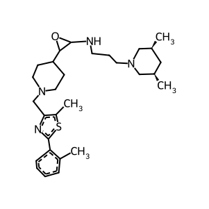 Cc1ccccc1-c1nc(CN2CCC(C3OC3NCCCN3C[C@H](C)C[C@H](C)C3)CC2)c(C)s1